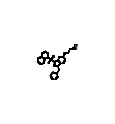 CCNCCOc1ccc2c(c1)c(S(=O)(=O)c1cccc3ccccc13)nn2Cc1ccccc1